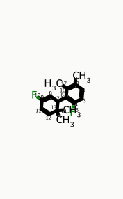 Cc1ccc(F)c(C2C=C(F)C=CC2(C)C)c1C